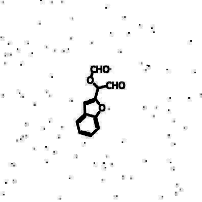 O=[C]OC(C=O)c1cc2ccccc2o1